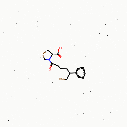 O=C(O)[C@H]1CSCN1C(=O)CCC[C@H](CS)c1ccccc1